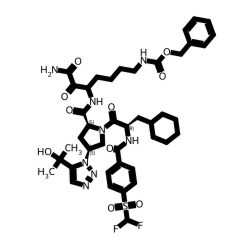 CC(C)(O)c1cnnn1[C@H]1C[C@@H](C(=O)NC(CCCCNC(=O)OCc2ccccc2)C(=O)C(N)=O)N(C(=O)[C@@H](CC2CCCCC2)NC(=O)c2ccc(S(=O)(=O)C(F)F)cc2)C1